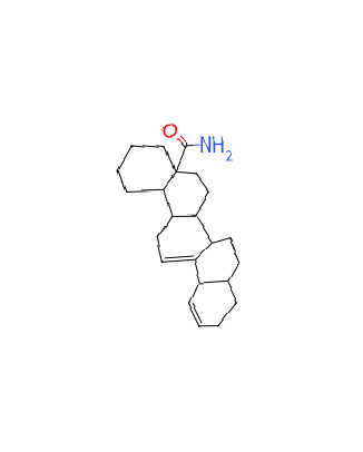 NC(=O)C12CCCCC1C1CC=C3C4C=CCCC4CCC3C1CC2